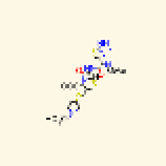 CO/N=C(\C(=O)N[C@@H]1C(=O)N2C(C(=O)[O-])=C(CSc3cc[n+](CC(=O)O)cc3)CS[C@H]12)c1csc(N)n1